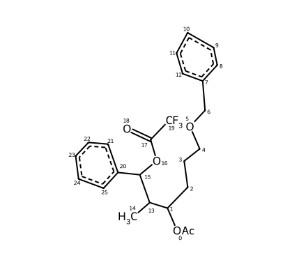 CC(=O)OC(CCCOCc1ccccc1)C(C)C(OC(=O)C(F)(F)F)c1ccccc1